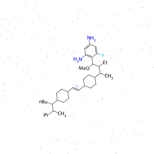 CCCCC(C1CCC(/C=C/C2CCC(C(C)C(CC)C(OC)c3c(N)cc(N)cc3F)CC2)CC1)C(C)C(C)C